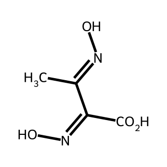 CC(=NO)C(=NO)C(=O)O